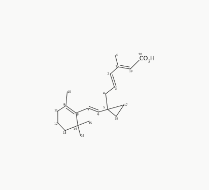 CC(C=CCC1(C=CC2=C(C)CCCC2(C)C)CC1)=CC(=O)O